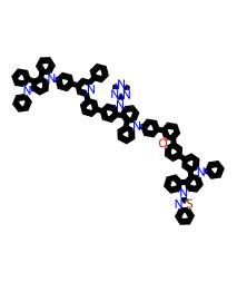 c1ccc(-c2cc(-c3ccc(-n4c5ccccc5c5c6c7ccccc7n(-c7ccccc7)c6ccc54)cc3)cc(-c3cccc(-c4ccc5c6c7c8ccccc8n(-c8ccc(-c9cccc%10c9oc9ccc(-c%11ccc%12c(c%11)c%11c%13c%14ccccc%14n(-c%14nc%15ccccc%15s%14)c%13ccc%11n%12-c%11ccccc%11)cc9%10)cc8)c7ccc6n(-c6ncncn6)c5c4)c3)n2)cc1